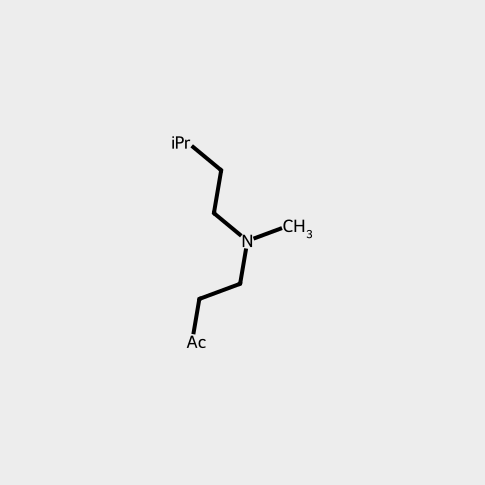 CC(=O)CCN(C)CCC(C)C